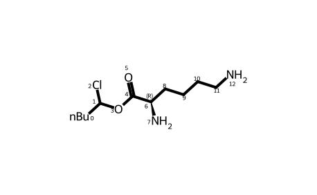 CCCCC(Cl)OC(=O)[C@H](N)CCCCN